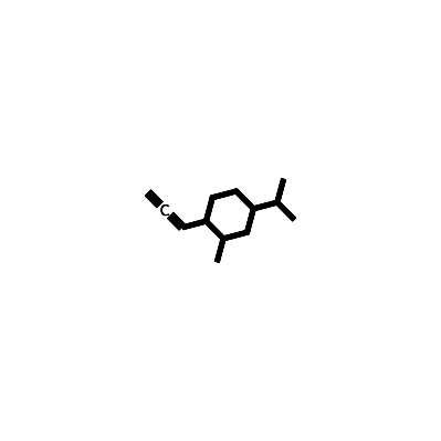 C=C=CC1CCC(C(C)C)CC1C